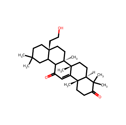 CC1(C)CC[C@]2(CCO)CC[C@]3(C)C(C(=O)C=C4[C@@]5(C)CCC(=O)C(C)(C)[C@@H]5CC[C@]43C)C2C1